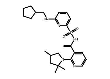 CC1CN(c2ncccc2C(=O)NS(=O)(=O)c2cccc(NCC3CCCC3)n2)C(C)(C)C1